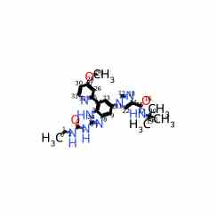 CCNC(=O)Nc1nc2cc(-n3cnc(C(=O)NC(C)(C)C)c3)cc(-c3cc(OC)ccn3)c2[nH]1